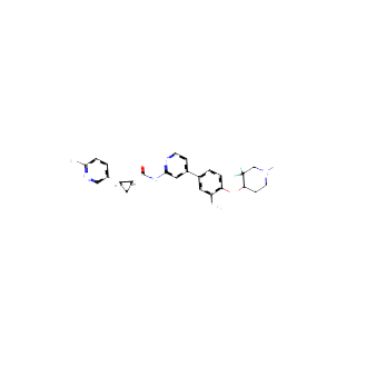 N#Cc1cc(-c2ccnc(NC(=O)[C@@H]3C[C@H]3c3ccc(Br)nc3)c2)ccc1OC1CCN(C(=O)O)CC1(F)F